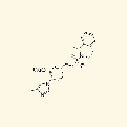 COc1cc(/C=C/S(=O)(=O)N2CCc3ccccc3C2C)ccc1-n1cnc(C)c1